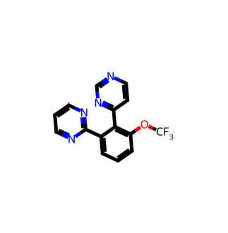 FC(F)(F)Oc1cccc(-c2n[c]ccn2)c1-c1ccncn1